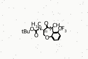 CN1C(=O)[C@@H](N(C)C(=O)OC(C)(C)C)COc2cccc(C(F)(F)F)c21